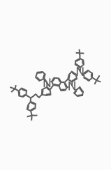 CC(C)(C)c1ccc(C(CCc2ccc3c4c5ccc6c(c5ccc4n(-c4ccccc4)c3c2)c2ccc(N(c3ccc(C(C)(C)C)cc3)c3ccc(C(C)(C)C)cc3)cc2n6-c2ccccc2)c2ccc(C(C)(C)C)cc2)cc1